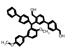 COc1ccc(-c2ccc(OC)c(C(c3ccc(-c4ccccc4)cc3)c3cc(-c4ccc(CO)cc4)ccc3CO)c2)cc1